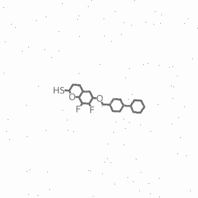 FC1C(OCC2CCC(C3CCCCC3)CC2)CC2CCC(S)OC2C1F